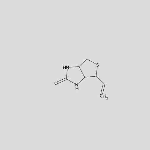 C=CC1SCC2NC(=O)NC21